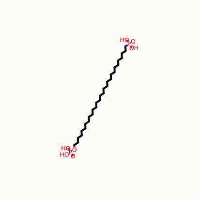 O=P(O)(O)CCCCCCCCCCCCCCCCCCCCCCCCCCCCCOP(=O)(O)O